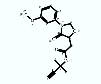 C#CC(C)(C)NC(=O)CC1OCN(c2cccc(OC(F)(F)F)c2)C1=O